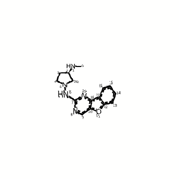 CN[C@@H]1CCN(Nc2ncc3oc4ccccc4c3n2)C1